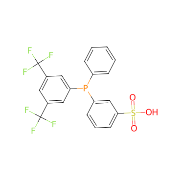 O=S(=O)(O)c1cccc(P(c2ccccc2)c2cc(C(F)(F)F)cc(C(F)(F)F)c2)c1